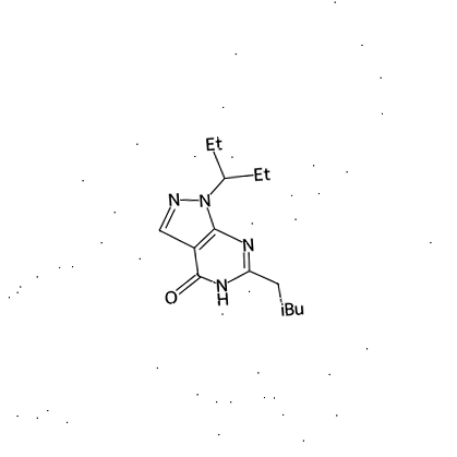 CCC(C)Cc1nc2c(cnn2C(CC)CC)c(=O)[nH]1